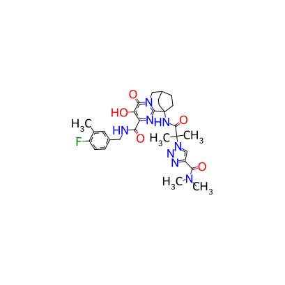 Cc1cc(CNC(=O)c2nc3n(c(=O)c2O)CC2CCC3(NC(=O)C(C)(C)n3cc(C(=O)N(C)C)nn3)CC2)ccc1F